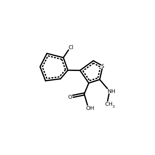 CNc1scc(-c2ccccc2Cl)c1C(=O)O